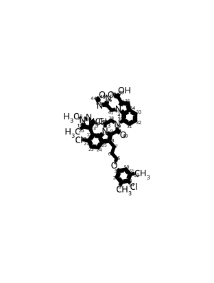 Cc1cc(OCCCc2c3n(c4c(-c5c(C)nn(C)c5C)c(Cl)ccc24)[C@H](C)CN(c2cccc4cc(C(=O)O)n(Cc5ncon5)c24)C3=O)cc(C)c1Cl